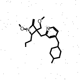 C=C1N(OC)C(CCC)C1(COC)Cc1cc(CC2CCC(C)CC2)ccn1